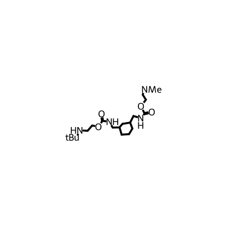 CNCCOC(=O)NCC1CCCC(CNC(=O)OCCNC(C)(C)C)C1